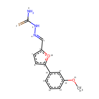 NC(=S)N/N=C/c1ccc(-c2cccc(OC(F)(F)F)c2)o1